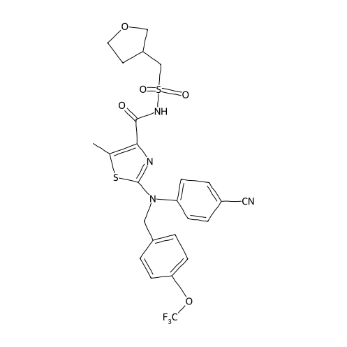 Cc1sc(N(Cc2ccc(OC(F)(F)F)cc2)c2ccc(C#N)cc2)nc1C(=O)NS(=O)(=O)CC1CCOC1